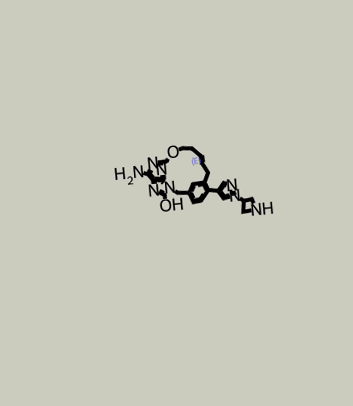 Nc1nc2nc3c1nc(O)n3Cc1ccc(-c3cnn(C4CNC4)c3)c(c1)C/C=C/CCO2